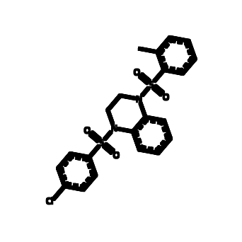 Cc1ccccc1S(=O)(=O)N1CCN(S(=O)(=O)c2ccc(Cl)cc2)c2ccccc21